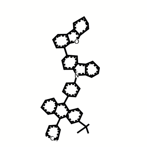 CC(C)(C)c1ccc2c(-c3ccc(-n4c5ccccc5c5cc(-c6cccc7c6oc6ccccc67)ccc54)cc3)c3ccccc3c(-c3ccccc3)c2c1